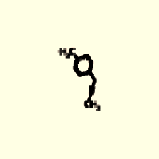 [CH2]c1ccc(CC#CC)cc1